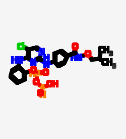 CC(C)CONC(=O)c1ccc(Nc2ncc(Cl)c(Nc3ccccc3O[PH](=O)O[PH](=O)O)n2)cc1